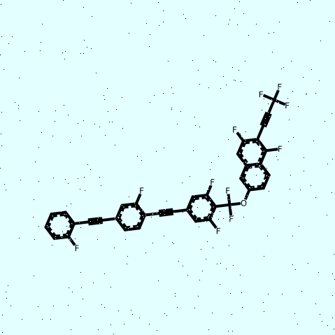 Fc1ccccc1C#Cc1ccc(C#Cc2cc(F)c(C(F)(F)Oc3ccc4c(F)c(C#CC(F)(F)F)c(F)cc4c3)c(F)c2)c(F)c1